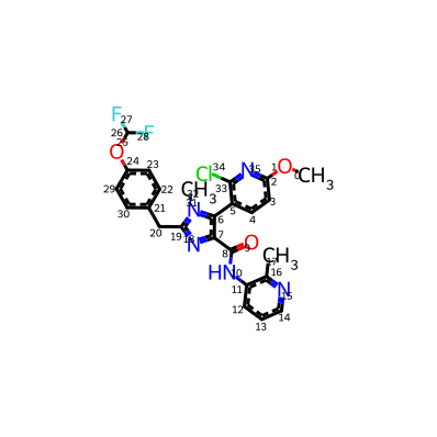 COc1ccc(-c2c(C(=O)Nc3cccnc3C)nc(Cc3ccc(OC(F)F)cc3)n2C)c(Cl)n1